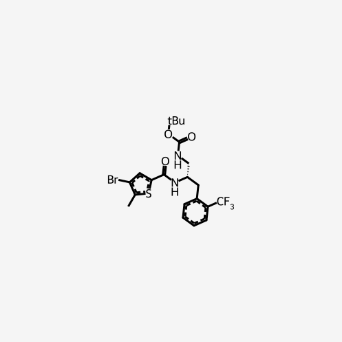 Cc1sc(C(=O)N[C@H](CNC(=O)OC(C)(C)C)Cc2ccccc2C(F)(F)F)cc1Br